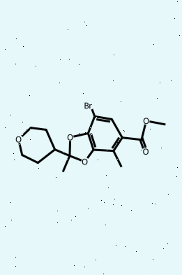 COC(=O)c1cc(Br)c2c(c1C)OC(C)(C1CCOCC1)O2